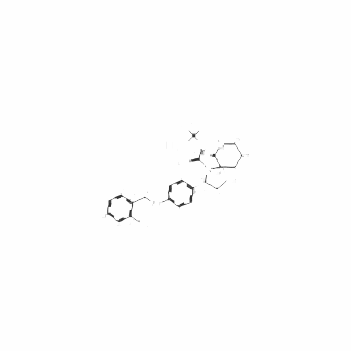 CC(C)(C)OC(=O)N1[C@H](c2ccc(OCc3ccccc3F)cc2)CC[C@]12CCCNC2=O